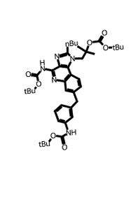 CCCCc1nc2c(NC(=O)OC(C)(C)C)nc3cc(Cc4cccc(NC(=O)OC(C)(C)C)c4)ccc3c2n1CC(C)(C)OC(=O)OC(C)(C)C